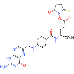 Nc1nc(=O)c2nc(CNc3ccc(C(=O)N[C@@H](CCC(=O)ON4C(=O)CCC4=S)C(=O)O)cc3)cnc2[nH]1